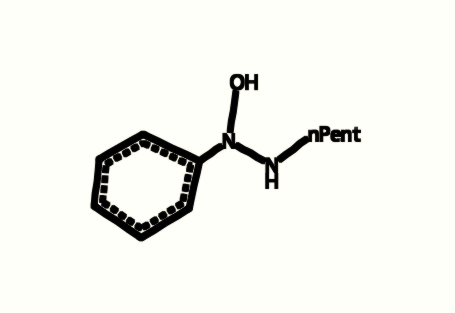 CCCCCNN(O)c1ccccc1